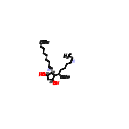 C/C=C\CCCC(OC)C1[C@@H](/C=C/CCCCCCOC)[C@H](O)C[C@@H]1O